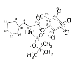 CC(C)(C)OC(=O)N[C@@H](CC1CCCCC1)C(=O)Oc1c(Cl)c(Cl)c(Cl)c(Cl)c1Cl